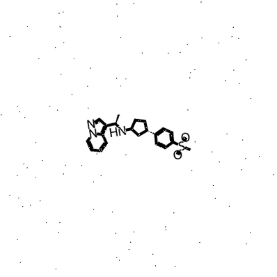 C[C@@H](NC1CC[C@H](c2ccc(S(C)(=O)=O)cc2)C1)c1cnn2ccccc12